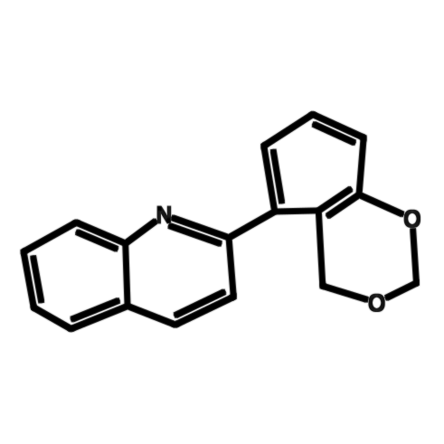 c1cc2c(c(-c3ccc4ccccc4n3)c1)COCO2